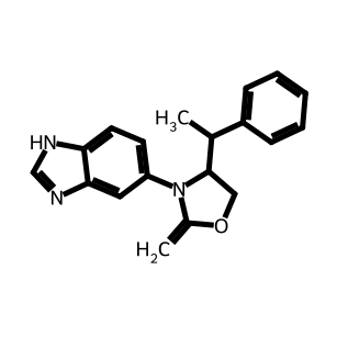 C=C1OCC(C(C)c2ccccc2)N1c1ccc2[nH]cnc2c1